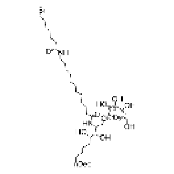 CCCCCCCCCCCCCCC(O)C(O)C(CO[C@H]1O[C@H](CO)[C@H](O)[C@H](O)[C@H]1O)NC(=O)CCCCCCCCCCCNC(=O)CCCCCCBr